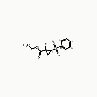 CCOC(=O)C1(F)CC1S(=O)(=O)c1ccccc1